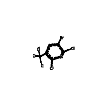 Clc1nc(Cl)c(C(Cl)(Cl)Cl)cc1Br